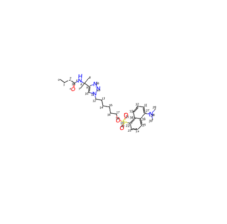 CCCC(=O)NC(C)(C)c1cn(CCCCCCOS(=O)(=O)c2cccc3c(N(C)C)cccc23)nn1